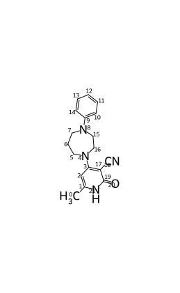 Cc1cc(N2CCCN(c3ccccc3)CC2)c(C#N)c(=O)[nH]1